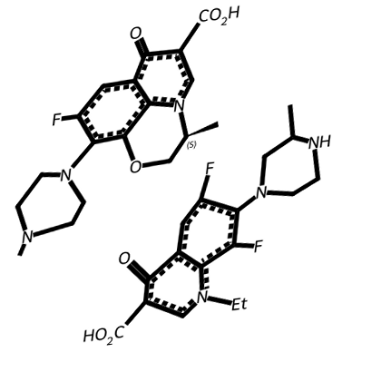 CCn1cc(C(=O)O)c(=O)c2cc(F)c(N3CCNC(C)C3)c(F)c21.C[C@H]1COc2c(N3CCN(C)CC3)c(F)cc3c(=O)c(C(=O)O)cn1c23